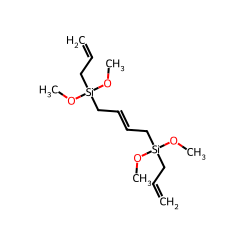 C=CC[Si](C/C=C/C[Si](CC=C)(OC)OC)(OC)OC